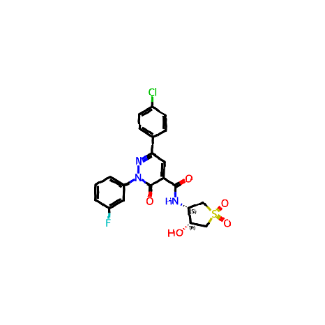 O=C(N[C@@H]1CS(=O)(=O)C[C@@H]1O)c1cc(-c2ccc(Cl)cc2)nn(-c2cccc(F)c2)c1=O